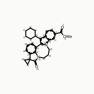 COC(=O)c1ccc2c(C3CCCCC3)c3n(c2c1)CCCN1C(=O)C2(CC2)c2cccc-3c21